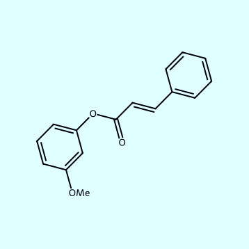 COc1cccc(OC(=O)C=Cc2ccccc2)c1